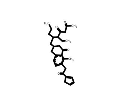 CCCC(CC1CC(=O)c2c(ccc(CC(=O)C3=CC=CC3)c2C)C1)C(CC)C(=O)CC(C)=O